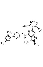 COc1ncnc(C2CC2)c1-c1nc(NCc2ccc(-c3nc(C(F)(F)F)cn3C)cc2)c2c(C)n(C)nc2n1